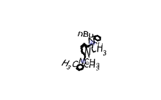 CCCCc1ccccc1/N=C(\C)c1cccc(/C(C)=N/c2c(C)cccc2C)n1